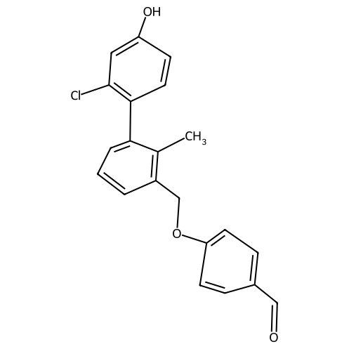 Cc1c(COc2ccc(C=O)cc2)cccc1-c1ccc(O)cc1Cl